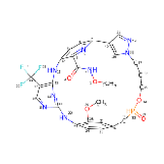 CONC(=O)c1nc2ccc1Nc1nc(ncc1C(F)(F)F)Nc1ccc(cc1OC)C[PH](=O)OCCCn1cc-2cn1